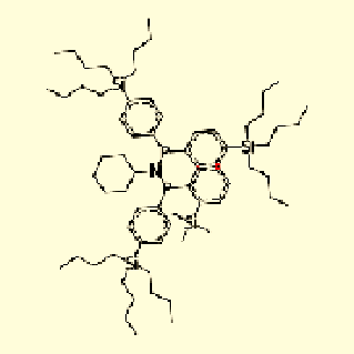 CCCC[Si](CCCC)(CCCC)c1ccc(P(c2ccc([Si](CCCC)(CCCC)CCCC)cc2)N(C2CCCCC2)P(c2ccc([Si](CCCC)(CCCC)CCCC)cc2)c2ccccc2[Si](C)(C)C)cc1